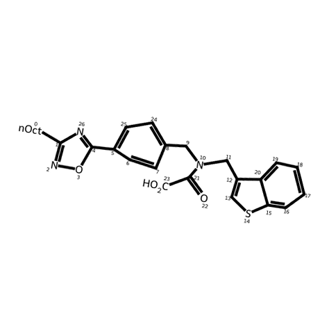 CCCCCCCCc1noc(-c2ccc(CN(Cc3csc4ccccc34)C(=O)C(=O)O)cc2)n1